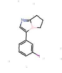 Ic1cccc(C2=CN=C3CCCB23)c1